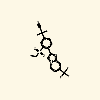 CCS(=O)(=O)c1cc(C(C)(C)C#N)ccc1-c1cn2ccc(C(F)(F)F)cc2n1